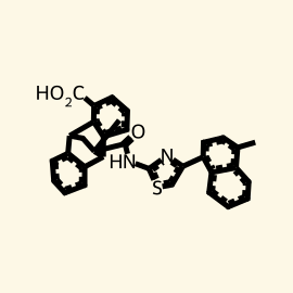 Cc1ccc(-c2csc(NC(=O)C3(C)CC4c5ccccc5C3c3cccc(C(=O)O)c34)n2)c2ccccc12